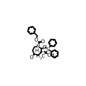 CC(C)(C)[Si](OC1CCC(=O)CCN1C(=O)OCc1ccccc1)(c1ccccc1)c1ccccc1